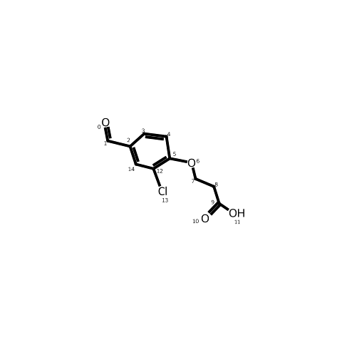 O=Cc1ccc(OCCC(=O)O)c(Cl)c1